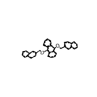 c1ccc2cc(COc3c4ccccc4c(OCc4ccc5ccccc5c4)c4ccccc34)ccc2c1